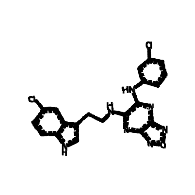 Clc1cccc(Nc2nc3nonc3nc2NCCc2c[nH]c3ccc(Cl)cc23)c1